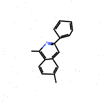 Cc1ccc2c(C)nc(-c3ccccc3)cc2c1